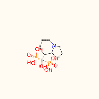 O=P(O)(O)C(O)([C@@H]1CCCN2CCCC12)P(=O)(O)O